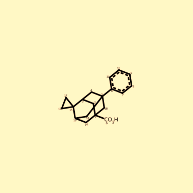 O=C(O)C12CC3CC(c4ccccc4)(CC(C1)C31CC1)C2